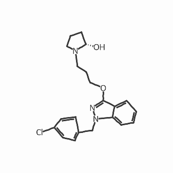 O[C@H]1CCCN1CCCOc1nn(Cc2ccc(Cl)cc2)c2ccccc12